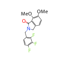 COc1ccc2c(c1OC)C(=O)N(Cc1ccc(F)c(F)c1F)C2